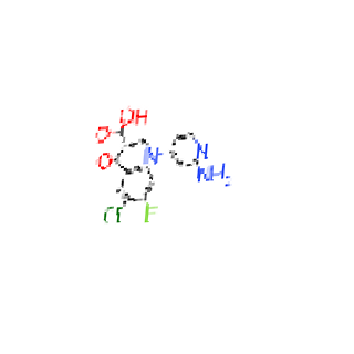 Nc1cc(-n2cc(C(=O)O)c(=O)c3cc(Cl)c(F)cc32)ccn1